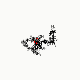 CC[C@H](C)[C@@H]1NC(=O)CNC(=O)[C@@H]2Cc3c([nH]c4cc(OCc5ccc(NC(=O)[C@H](C)NC(=O)[C@@H](NC(=O)CCN6C(=O)CC(C)C6=O)C(C)C)cc5)ccc34)SC[C@H](NC(=O)CNC1=O)C(=O)N[C@@H](CC(N)=O)C(=O)N1C[C@H](O)C[C@H]1C(=O)N[C@@H]([C@@H](C)[C@@H](O)CO)C(=O)N2